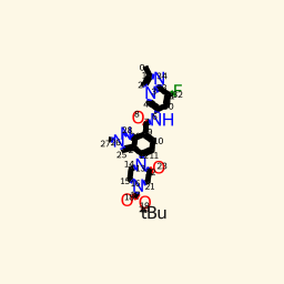 Cc1cn2cc(NC(=O)c3ccc(N4CCN(C(=O)OC(C)(C)C)CC4=O)c4cn(C)nc34)cc(F)c2n1